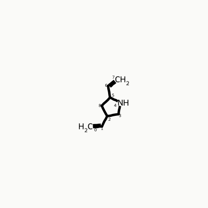 C=CC1CNC(C=C)C1